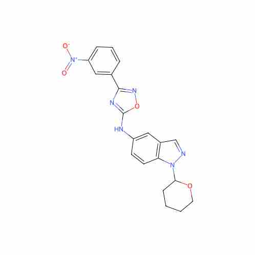 O=[N+]([O-])c1cccc(-c2noc(Nc3ccc4c(cnn4C4CCCCO4)c3)n2)c1